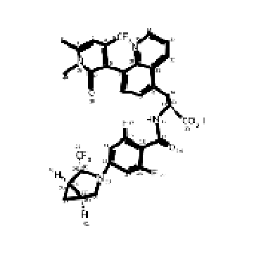 Cc1cc(C(F)(F)F)c(-c2ccc(C[C@H](NC(=O)c3c(F)cc(N4C[C@H]5C[C@H]5[C@@H]4C(F)(F)F)cc3F)C(=O)O)c3cccnc23)c(=O)n1C